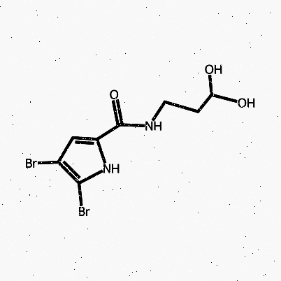 O=C(NCCC(O)O)c1cc(Br)c(Br)[nH]1